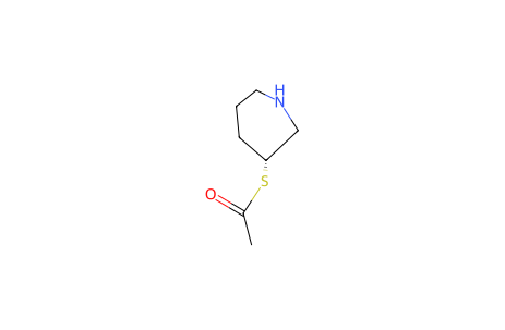 CC(=O)S[C@@H]1CCCNC1